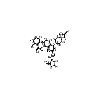 C=C1CC2(CCN(c3nc(OCC4CCCN4C)nc4c3CCN(c3cccc(C)c3C(=C)Cl)C4)CC2)O1